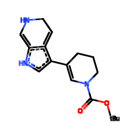 CC(C)(C)OC(=O)N1C=C(c2c[nH]c3c2=CCNC=3)CCC1